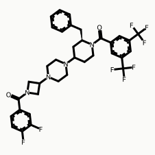 O=C(c1ccc(F)c(F)c1)N1CC(N2CCN(C3CCN(C(=O)c4cc(C(F)(F)F)cc(C(F)(F)F)c4)[C@H](Cc4ccccc4)C3)CC2)C1